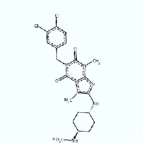 Cn1c(N[C@H]2CC[C@H](NC(=O)O)CC2)nc2c1c(=O)n(Cc1ccc(Cl)c(Cl)c1)c(=O)n2C